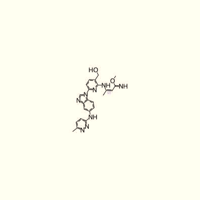 COC(=N)/C=C(/C)Nc1nc(-n2cnc3cc(Nc4ccc(C)nn4)ccc32)ccc1CO